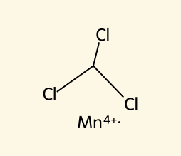 ClC(Cl)Cl.[Mn+4]